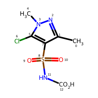 Cc1nn(C)c(Cl)c1S(=O)(=O)NC(=O)O